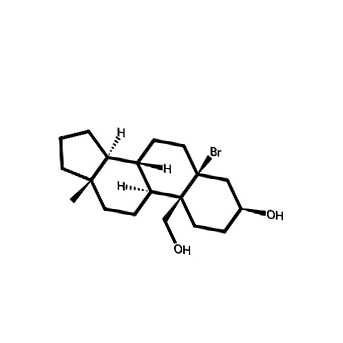 C[C@@]12CCC[C@H]1[C@@H]1CC[C@]3(Br)C[C@@H](O)CC[C@]3(CO)[C@H]1CC2